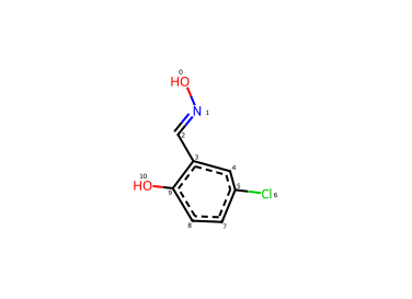 ON=Cc1cc(Cl)ccc1O